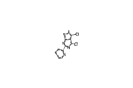 Cc1sc2nc(-c3ccccn3)nc(Cl)c2c1Cl